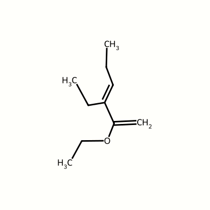 C=C(OCC)C(=CCC)CC